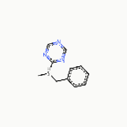 C[SiH](Cc1ccccc1)c1ncncn1